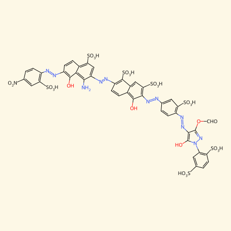 Nc1c(N=Nc2ccc3c(O)c(N=Nc4ccc(N=Nc5c(OC=O)nn(-c6cc(S(=O)(=O)O)ccc6S(=O)(=O)O)c5O)c(S(=O)(=O)O)c4)c(S(=O)(=O)O)cc3c2S(=O)(=O)O)cc(S(=O)(=O)O)c2ccc(N=Nc3ccc([N+](=O)[O-])cc3S(=O)(=O)O)c(O)c12